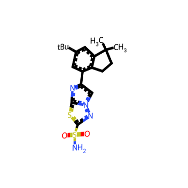 CC(C)(C)c1cc(-c2cn3nc(S(N)(=O)=O)sc3n2)c2c(c1)C(C)(C)CC2